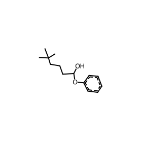 CC(C)(C)CCCC(O)Oc1ccccc1